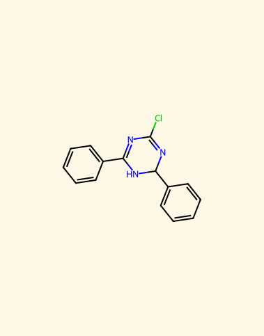 ClC1=NC(c2ccccc2)NC(c2ccccc2)=N1